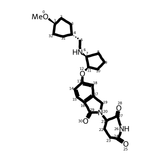 CO[C@H]1CC[C@H](CN[C@H]2CCC[C@H]2Oc2ccc3c(c2)CN(C2CCC(=O)NC2=O)C3=O)CC1